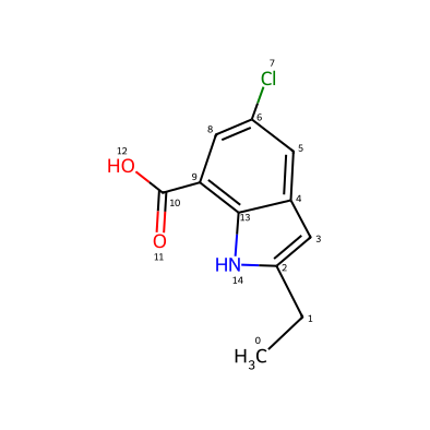 CCc1cc2cc(Cl)cc(C(=O)O)c2[nH]1